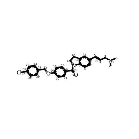 CN(C)C/C=C/c1ccc2c(c1)CCN2C(=O)c1ccc(OCc2ccc(Cl)cc2)cc1